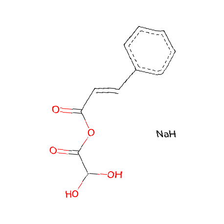 O=C(/C=C/c1ccccc1)OC(=O)C(O)O.[NaH]